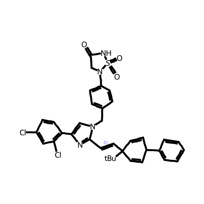 CC(C)(C)C1(/C=C/c2nc(-c3ccc(Cl)cc3Cl)cn2Cc2ccc(N3CC(=O)NS3(=O)=O)cc2)C=CC(c2ccccc2)C=C1